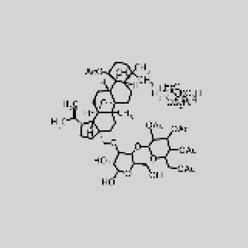 C=C(C)[C@@H]1CC[C@]2(CO[C@@H]3[C@@H](O)[C@H](O)O[C@H](CO)[C@@H]3OC3OC(COC(C)=O)C(OC(C)=O)C(OC(C)=O)C3OC(C)=O)CC[C@]3(C)[C@H](CC[C@@H]4[C@@]5(C)C(OC(C)=O)CCC(C)(C)[C@@H]5CC[C@]43C)[C@@H]12.CC(=O)O.CC(=O)O.CC(=O)O